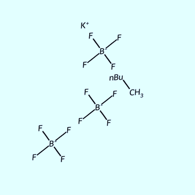 CCCCC.F[B-](F)(F)F.F[B-](F)(F)F.F[B-](F)(F)F.[K+]